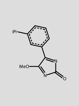 COC1=NC(=O)N=C1c1cccc(C(C)C)c1